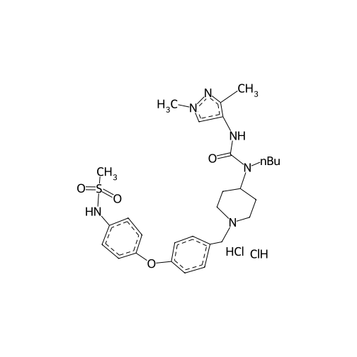 CCCCN(C(=O)Nc1cn(C)nc1C)C1CCN(Cc2ccc(Oc3ccc(NS(C)(=O)=O)cc3)cc2)CC1.Cl.Cl